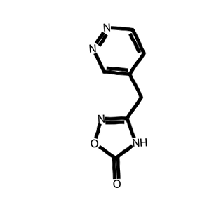 O=c1[nH]c(Cc2ccnnc2)no1